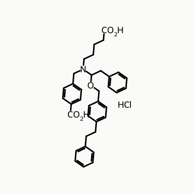 Cl.O=C(O)CCCCN(Cc1ccc(C(=O)O)cc1)C(Cc1ccccc1)OCc1ccc(CCc2ccccc2)cc1